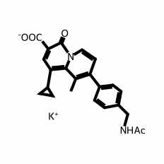 CC(=O)NCc1ccc(-c2ccn3c(=O)c(C(=O)[O-])cc(C4CC4)c3c2C)cc1.[K+]